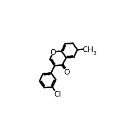 CC1C=c2c(occ(-c3cccc(Cl)c3)c2=O)=CC1